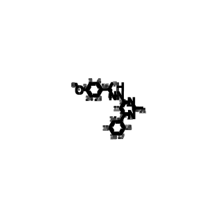 COc1ccc(/C(C)=N/Nc2cc(-c3ccccc3)nc(C)n2)cc1